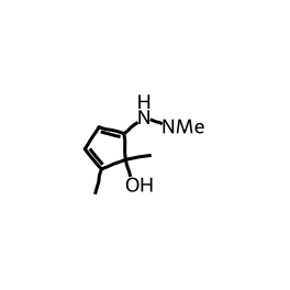 CNNC1=CC=C(C)C1(C)O